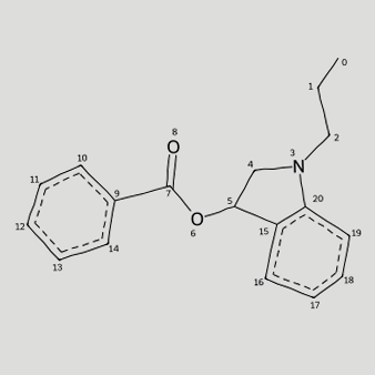 CCCN1CC(OC(=O)c2ccccc2)c2ccccc21